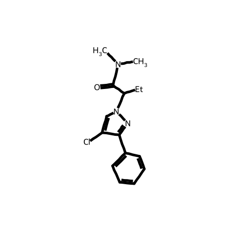 CCC(C(=O)N(C)C)n1cc(Cl)c(-c2ccccc2)n1